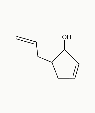 C=CCC1CC=CC1O